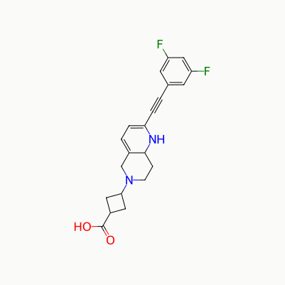 O=C(O)C1CC(N2CCC3NC(C#Cc4cc(F)cc(F)c4)=CC=C3C2)C1